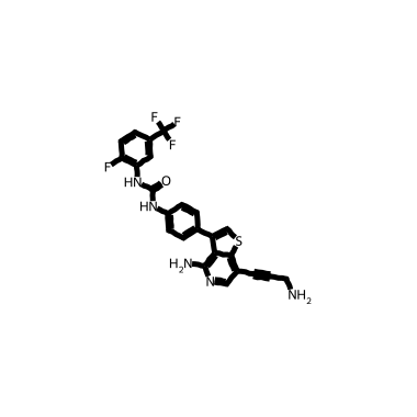 NCC#Cc1cnc(N)c2c(-c3ccc(NC(=O)Nc4cc(C(F)(F)F)ccc4F)cc3)csc12